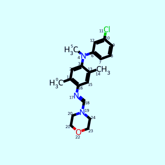 Cc1cc(N(C)c2cccc(Cl)c2)c(C)cc1N=CN1CCOCC1